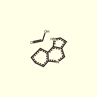 O=CO.c1ccc2c(c1)ncc1cc[nH]c12